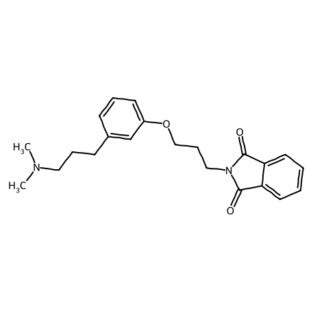 CN(C)CCCc1cccc(OCCCN2C(=O)c3ccccc3C2=O)c1